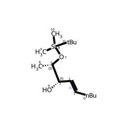 CCCC/C=C/[C@H](O)[C@H](C)O[Si](C)(C)C(C)(C)C